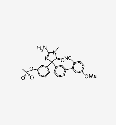 COc1ccc(C#N)c(-c2cccc(C3(c4cccc(OS(C)(=O)=O)c4)N=C(N)N(C)C3=O)c2)c1